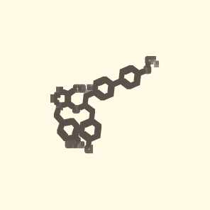 CCOC(=O)c1nnn(Cc2ccc(OC)cc2)c1OC(Cc1ccc(Cl)cc1)Cc1ccc(-c2ccc(OC(F)(F)F)cc2)cc1